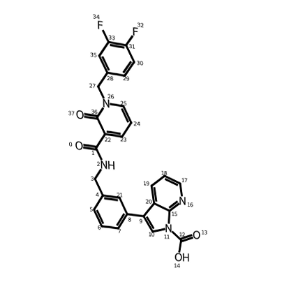 O=C(NCc1cccc(-c2cn(C(=O)O)c3ncccc23)c1)c1cccn(Cc2ccc(F)c(F)c2)c1=O